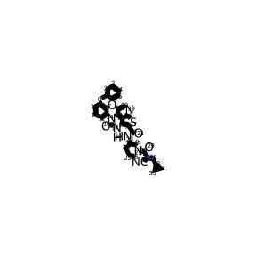 Cc1ccccc1Oc1ccccc1N1C(=O)Nc2c(C(=O)NC3CCCN(C(=O)/C(C#N)=C/C4CC4)C3)sc3nccc1c23